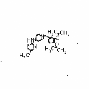 CCc1cnc(NC2CCN(Cc3ccc(OC(C)C)c(OC(C)C)c3)CC2)nc1